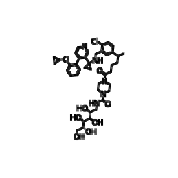 CC(CCCC(=O)N1CCN(C(=O)NC[C@H](O)[C@@H](O)[C@H](O)[C@H](O)CO)CC1)c1ccc(Cl)c(CNC2(c3cnccc3-c3ccccc3OC3CC3)CC2)c1